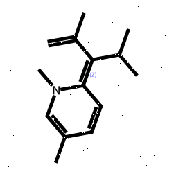 C=C(C)/C(=C1/C=CC(C)=CN1C)C(C)C